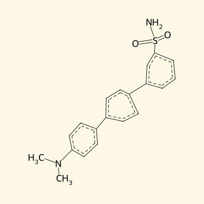 CN(C)c1ccc(-c2ccc(-c3cccc(S(N)(=O)=O)c3)cc2)cc1